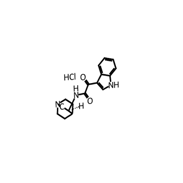 Cl.O=C(N[C@@H]1CN2CCC1CC2)C(=O)c1c[nH]c2ccccc12